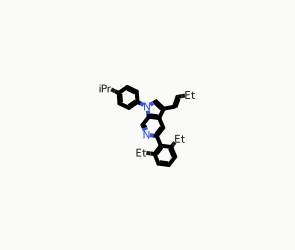 CCC=Cc1cn(-c2ccc(C(C)C)cc2)c2cnc(-c3c(CC)cccc3CC)cc12